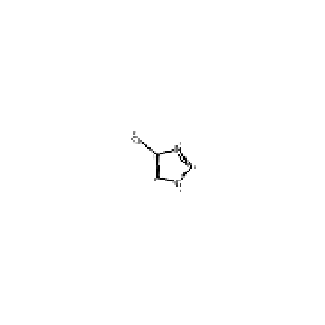 ClC1[C]OC=N1